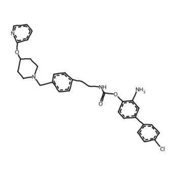 Nc1cc(-c2ccc(Cl)cc2)ccc1OC(=O)NCCc1ccc(CN2CCC(Oc3ccccn3)CC2)cc1